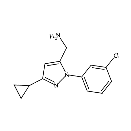 NCc1cc(C2CC2)nn1-c1cccc(Cl)c1